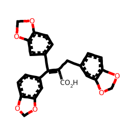 O=C(O)C(Cc1ccc2c(c1)OCO2)=C(c1ccc2c(c1)OCO2)c1ccc2c(c1)OCO2